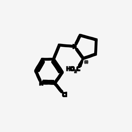 O=C(O)[C@@H]1CCCN1Cc1ccnc(Cl)c1